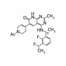 CC(=O)N1CC=C(c2cc3c(N[C@H](C)c4cccc(C(C)F)c4F)nc(C)nc3[nH]c2=O)CC1